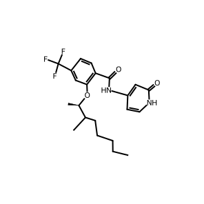 CCCCCC(C)[C@@H](C)Oc1cc(C(F)(F)F)ccc1C(=O)Nc1cc[nH]c(=O)c1